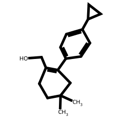 CC1(C)CCC(CO)=C(c2ccc(C3CC3)cc2)C1